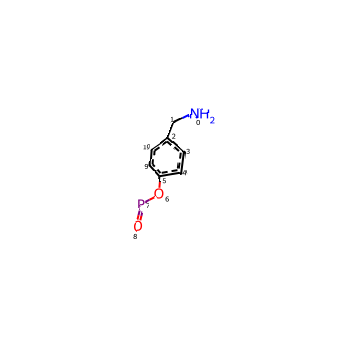 NCc1ccc(OP=O)cc1